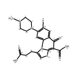 CN1CCN(c2cc3c(cc2F)c(=O)c(C(=O)O)c2scc(CCC(=O)O)n23)CC1